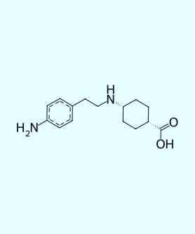 Nc1ccc(CCN[C@H]2CC[C@@H](C(=O)O)CC2)cc1